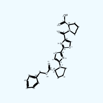 O=C(O)[C@H]1CCCN1C(=O)c1csc(-c2nc(N3CCC[C@@H]3C(=O)OCc3ccccc3)cs2)n1